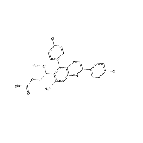 Cc1cc2nc(-c3ccc(Cl)cc3)ccc2c(-c2ccc(Cl)cc2)c1[C@H](COC(=O)C(C)(C)C)OC(C)(C)C